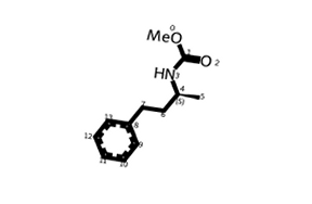 COC(=O)N[C@@H](C)CCc1ccccc1